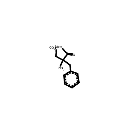 COC(=O)C(N)(CC(=O)O)Cc1ccccc1